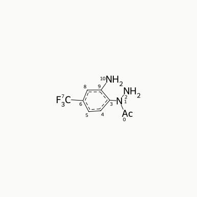 CC(=O)N(N)c1ccc(C(F)(F)F)cc1N